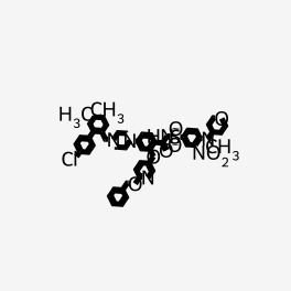 CN(c1ccc(S(=O)(=O)NC(=O)c2ccc(N3CCN(CC4=C(c5ccc(Cl)cc5)CC(C)(C)CC4)CC3)cc2Oc2ccc(OCc3ccccc3)nc2)cc1[N+](=O)[O-])C1CCOCC1